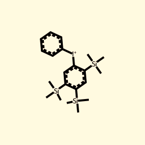 C[Si](C)(C)c1cc([Si](C)(C)C)c([Si](C)(C)C)cc1[I+]c1ccccc1